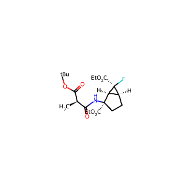 CCOC(=O)[C@@]1(F)[C@H]2[C@@H]1CC[C@]2(NC(=O)[C@@H](C)C(=O)OC(C)(C)C)C(=O)OCC